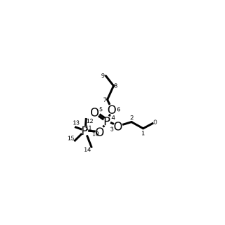 CCCOP(=O)(OCCC)OP(C)(C)(C)C